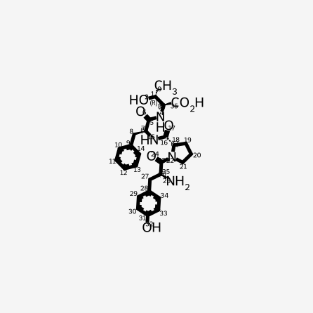 C[C@@H](O)[C@H](NC(=O)[C@H](Cc1ccccc1)NC(=O)[C@@H]1CCCN1C(=O)[C@@H](N)Cc1ccc(O)cc1)C(=O)O